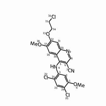 COc1cc(Nc2c(C#N)cnc3cc(OCCCl)c(OC)cc23)c(Cl)cc1Cl